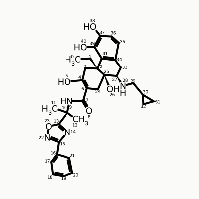 CC[C@]12CC(O)=C(C(=O)NC(C)(C)c3nc(-c4ccccc4)no3)C[C@@]1(O)[C@H](NCC1CC1)Cc1ccc(O)c(O)c12